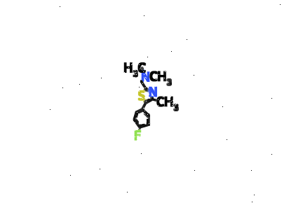 Cc1nc(CN(C)C)sc1-c1ccc(F)cc1